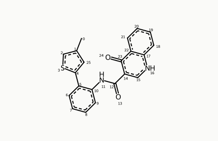 Cc1csc(-c2ccccc2NC(=O)c2c[nH]c3ccccc3c2=O)c1